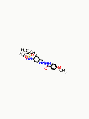 COc1ccc(C(=O)NNCC2CCC(NS(=O)(=O)C(C)(C)C)CC2)cc1